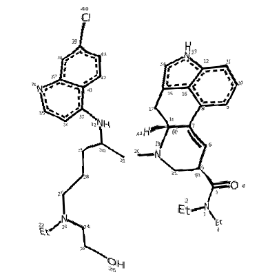 CCN(CC)C(=O)[C@@H]1C=C2c3cccc4[nH]cc(c34)C[C@H]2N(C)C1.CCN(CCO)CCCC(C)Nc1ccnc2cc(Cl)ccc12